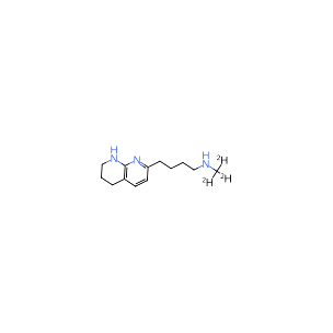 [2H]C([2H])([2H])NCCCCc1ccc2c(n1)NCCC2